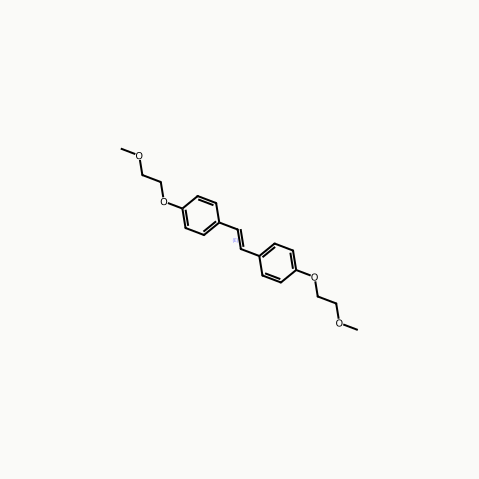 COCCOc1ccc(/C=C/c2ccc(OCCOC)cc2)cc1